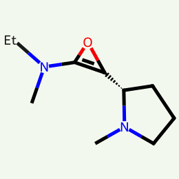 CCN(C)C1=C([C@@H]2CCCN2C)O1